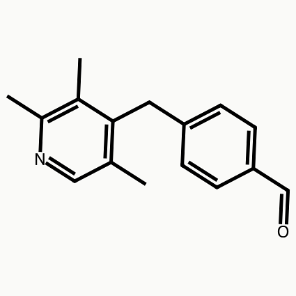 Cc1cnc(C)c(C)c1Cc1ccc(C=O)cc1